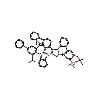 CC(C)c1cc(-c2ccccc2)cc(C(C)C)c1-n1c2ccccc2[n+]2c3c(c4ccc5c6ccccc6oc5c4c12)C1c2ccccc2-c2cc(CC(C)(C)C)c([Si](C)(C)C)c[n+]2C1C3